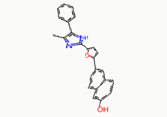 Cc1nc(-c2ccc(-c3ccc4cc(O)ccc4c3)o2)[nH]c1-c1ccccc1